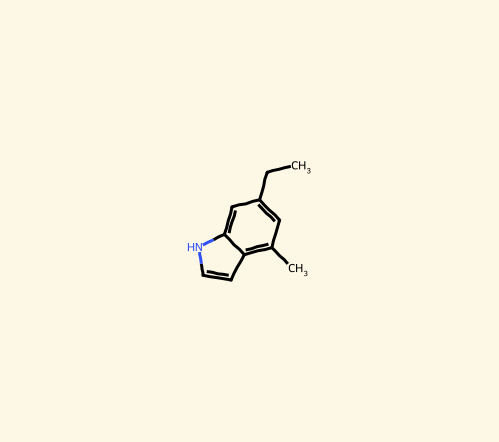 CCc1cc(C)c2cc[nH]c2c1